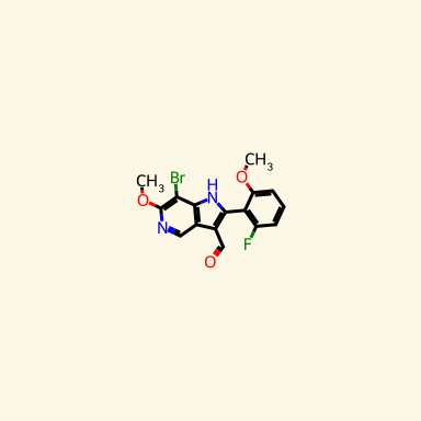 COc1cccc(F)c1-c1[nH]c2c(Br)c(OC)ncc2c1C=O